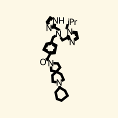 CC(C)Cn1ccnc1CN(Cc1ccc(C(=O)N2CCC3(CCN(C4CCCCC4)CC3)C2)cc1)Cc1ncc[nH]1